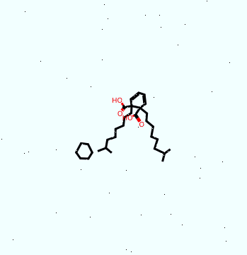 C1CCCCC1.CC(C)CCCCCCC1(C(=O)O)C=CC=CC1(CCCCCCC(C)C)C(=O)O